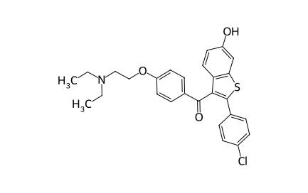 CCN(CC)CCOc1ccc(C(=O)c2c(-c3ccc(Cl)cc3)sc3cc(O)ccc23)cc1